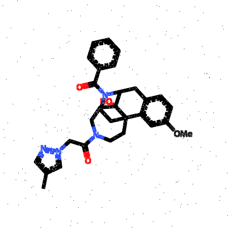 COc1ccc2c(c1)C13CCN(C(=O)Cn4cc(C)cn4)CCC1(O)C(C2)N(C(=O)c1ccccc1)CC3